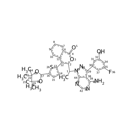 CC(c1oc(=O)c2ccccc2c1-c1ccc(C2OC(C)(C)C(C)(C)O2)s1)n1nc(-c2cc(O)cc(F)c2)c2c(N)ncnc21